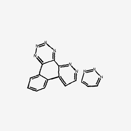 c1ccc2c(c1)c1ccnnc1c1nnnnc21.c1cnnnc1